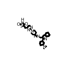 CN(C)c1cccc(-c2nc3ccccc3cc2CNCC2CCN(c3nccc(/C=C4/SC(=O)NC4=O)n3)CC2)c1